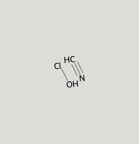 C#N.OCl